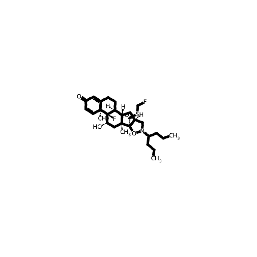 CCCC(CCC)N1C[C@@H]2C[C@H]3[C@@H]4CCC5=CC(=O)C=C[C@]5(C)[C@@]4(F)[C@@H](O)C[C@]3(C)[C@]2(C(=O)SCF)O1